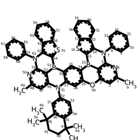 Cc1cc2c3c(n1)N(c1ccccc1)c1c(sc4ccccc14)B3c1cc3c(cc1O2)N(c1ccc2c(c1)C(C)(C)CCC2(C)C)c1cc(C)nc2c1B3c1sc3ccccc3c1N2c1ccccc1